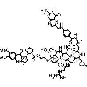 COc1cc(N)c(C(=O)N2CCC[C@H]2C2OCCN2C(=O)OCCSSC[C@H](NC(=O)[C@H](CC(=O)O)NC(=O)[C@H](CC(=O)O)NC(=O)[C@H](CCCNC(=N)N)NC(=O)[C@H](CC(=O)O)NC(=O)CC[C@@H](C)NC(=O)c2ccc(NCc3cnc4nc(N)[nH]c(=O)c4n3)cc2)C(=O)O)cc1OC